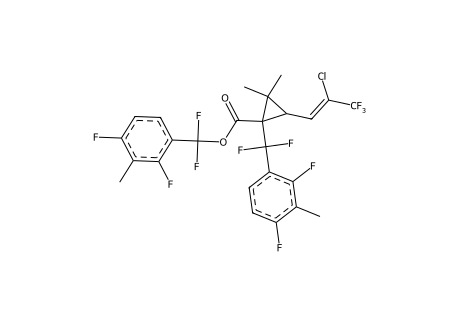 Cc1c(F)ccc(C(F)(F)OC(=O)C2(C(F)(F)c3ccc(F)c(C)c3F)C(C=C(Cl)C(F)(F)F)C2(C)C)c1F